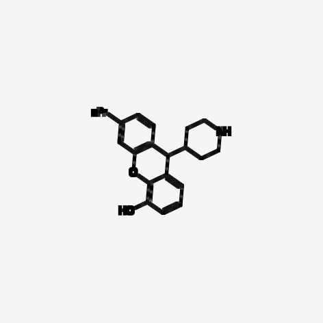 CCCc1ccc2c(c1)Oc1c(O)cccc1C2C1CCNCC1